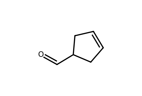 O=CC1CC=CC1